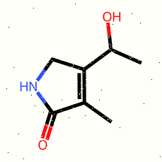 CC1=C(C(C)O)CNC1=O